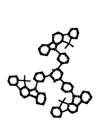 CC1(C)c2ccccc2-c2ccc3c4ccccc4n(-c4ccc(-c5cc(-c6cccc(-n7c8ccccc8c8ccc9c(c87)C(C)(C)c7ccccc7-9)c6)nc(-c6cccc(-n7c8ccccc8c8ccc9c(c87)C(C)(C)c7ccccc7-9)c6)n5)cc4)c3c21